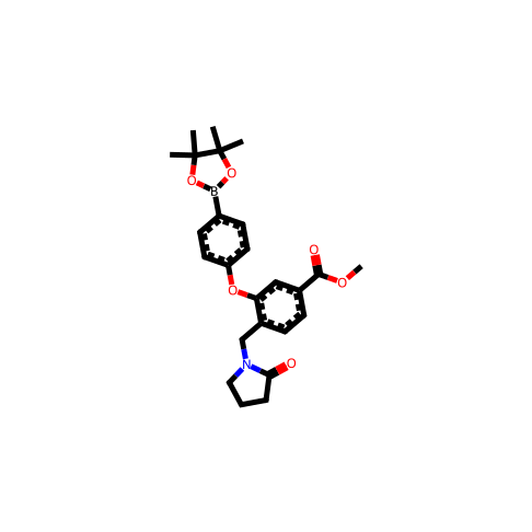 COC(=O)c1ccc(CN2CCCC2=O)c(Oc2ccc(B3OC(C)(C)C(C)(C)O3)cc2)c1